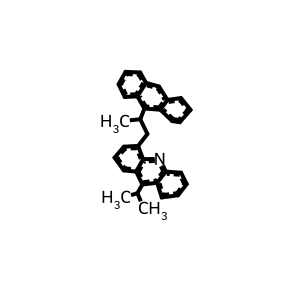 CC(C)c1c2ccccc2nc2c(CC(C)c3c4ccccc4cc4ccccc34)cccc12